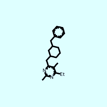 CCc1nc(C)nc(CC2CCCC(Cc3ccccc3)C2)c1C